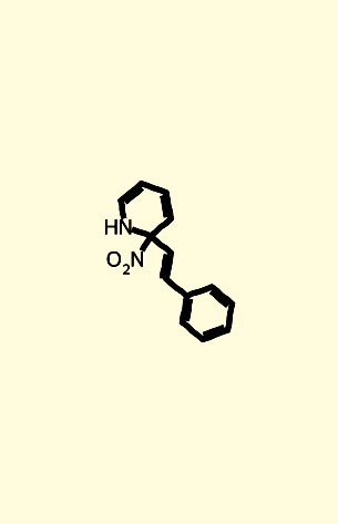 O=[N+]([O-])C1(/C=C/c2ccccc2)C=CC=CN1